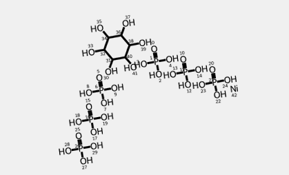 O=P(O)(O)O.O=P(O)(O)O.O=P(O)(O)O.O=P(O)(O)O.O=P(O)(O)O.O=P(O)(O)O.OC1C(O)C(O)C(O)C(O)C1O.[Ni]